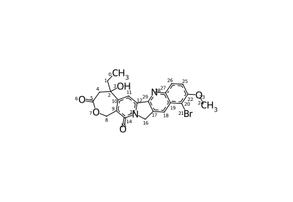 CCC1(O)CC(=O)OCc2c1cc1n(c2=O)Cc2cc3c(Br)c(OC)ccc3nc2-1